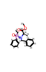 CCP(=O)(c1ccccc1)N(Cc1ccccc1)[C@H](C)C(=O)OC